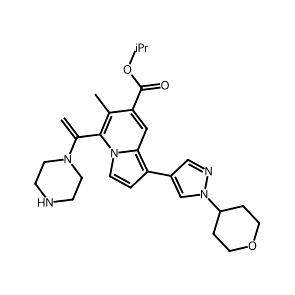 C=C(c1c(C)c(C(=O)OC(C)C)cc2c(-c3cnn(C4CCOCC4)c3)ccn12)N1CCNCC1